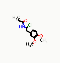 CCC(=O)NC(Cl)Cc1ccc(OC)c(OC)c1